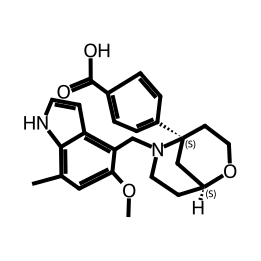 COc1cc(C)c2[nH]ccc2c1CN1CC[C@H]2C[C@]1(c1ccc(C(=O)O)cc1)CCO2